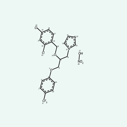 FC(F)(F)c1ccc(OCC(Cn2ccnc2)OCc2ccc(Cl)cc2Cl)cc1.O=[N+]([O-])O